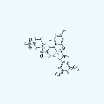 Cc1cc(F)ccc1[C@@H]1CN(C(=O)C2CCCN(S(C)(=O)=O)C2)CC[C@H]1C(=O)N(C)Cc1cc(C(F)(F)F)cc(C(F)(F)F)c1